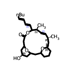 CCCCC=C/C=C/C1OC(=O)CC2C[C@H](O)CC(CC3CCC[C@H](C[C@@H](C)/C=C/[C@@H]1C)O3)O2